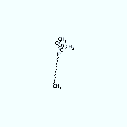 CCCCCCCCCCCCCCCCOC[C@H](COC(=O)CC)OC(=O)CC